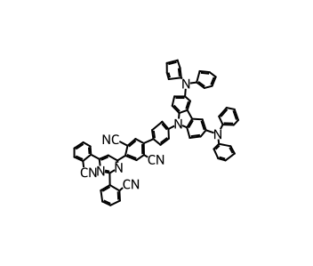 N#Cc1cc(-c2cc(-c3ccccc3C#N)nc(-c3ccccc3C#N)n2)c(C#N)cc1-c1ccc(-n2c3ccc(N(c4ccccc4)c4ccccc4)cc3c3cc(N(c4ccccc4)c4ccccc4)ccc32)cc1